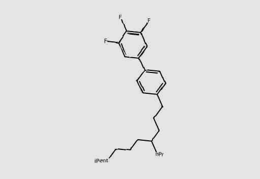 CCCC(C)CCCC(CCC)CCCc1ccc(-c2cc(F)c(F)c(F)c2)cc1